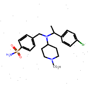 CC(c1ccc(Br)cc1)N(Cc1ccc(S(N)(=O)=O)cc1)C1CCN(C(=O)O)CC1